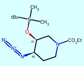 CCOC(=O)N1CC[C@@H](N=[N+]=[N-])[C@@H](O[Si](C)(C)C(C)(C)C)C1